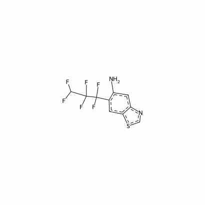 Nc1cc2ncsc2cc1C(F)(F)C(F)(F)C(F)F